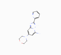 Nc1cc(N2CCOCC2)cc2nc(-c3ccccn3)nn12